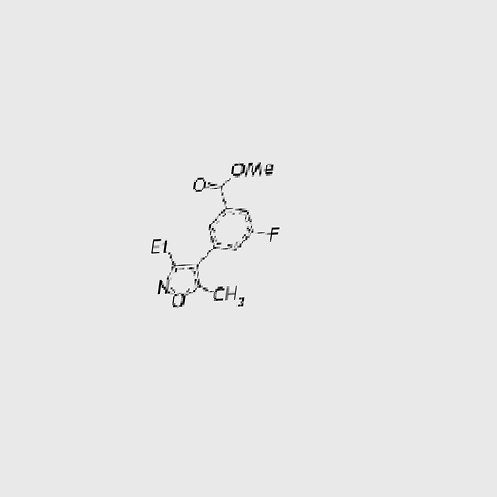 CCc1noc(C)c1-c1cc(F)cc(C(=O)OC)c1